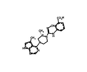 Cc1c[nH]c2ncnc(N3CCN(C(=NC#N)Nc4cccc(C(=O)O)c4)[C@@H](C)C3)c12